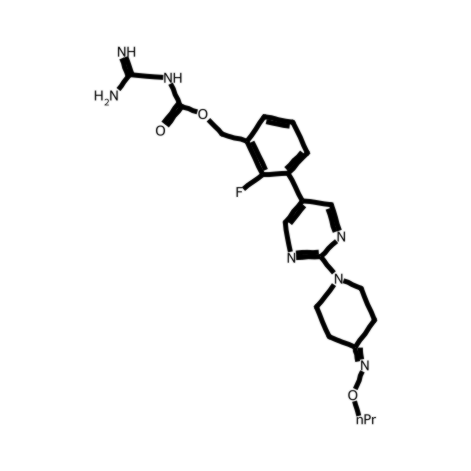 CCCON=C1CCN(c2ncc(-c3cccc(COC(=O)NC(=N)N)c3F)cn2)CC1